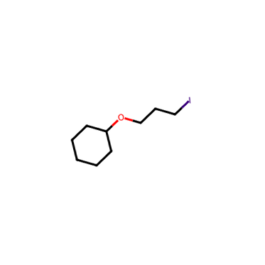 ICCCOC1CCCCC1